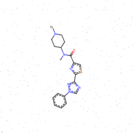 CCN1CCC(N(C)C(=O)c2csc(-c3ncn(-c4ccccc4)n3)n2)CC1